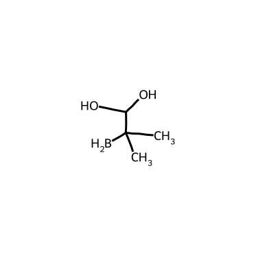 BC(C)(C)C(O)O